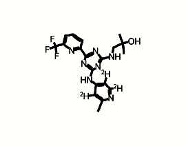 [2H]c1nc(C)c([2H])c(Nc2nc(NCC(C)(C)O)nc(-c3cccc(C(F)(F)F)n3)n2)c1[2H]